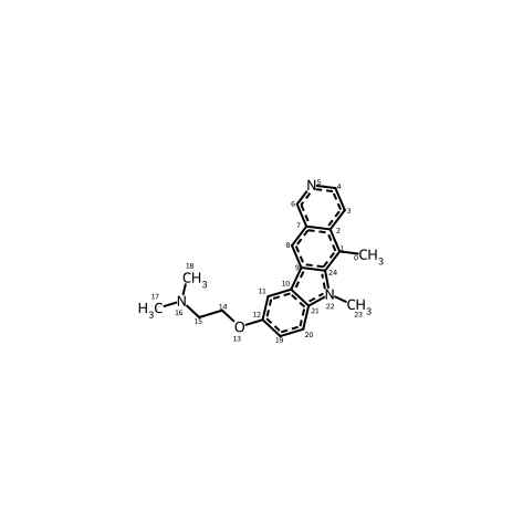 Cc1c2ccncc2cc2c3cc(OCCN(C)C)ccc3n(C)c12